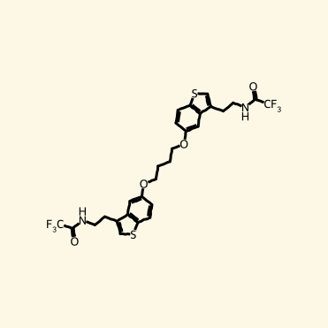 O=C(NCCc1csc2ccc(OCCCCOc3ccc4scc(CCNC(=O)C(F)(F)F)c4c3)cc12)C(F)(F)F